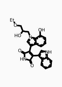 CCOCC(O)Cn1cc(C2=C(c3c[nH]c4ccccc34)C(=O)NC2=O)c2cccc(O)c21